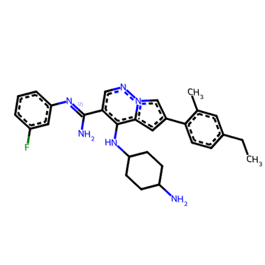 CCc1ccc(-c2cc3c(NC4CCC(N)CC4)c(/C(N)=N/c4cccc(F)c4)cnn3c2)c(C)c1